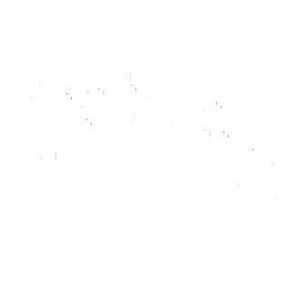 Cc1ccc(C)c(N/C(N)=N/C(O)Nc2ccc(-c3ncn(-c4ccc(OC(F)(F)F)cc4)n3)cc2)c1